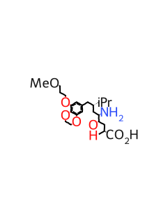 COCCCOc1cc(C[C@@H](C[C@H](N)[C@@H](O)C[C@@H](C)C(=O)O)C(C)C)cc2c1OCCO2